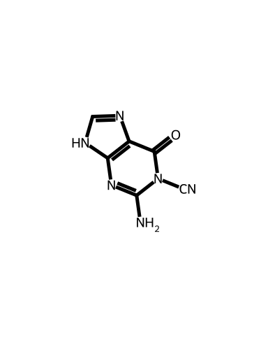 N#Cn1c(N)nc2[nH]cnc2c1=O